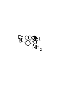 CCN1CC1c1ccc(C(N)=O)c(C2CN2CC)c1C(=O)O